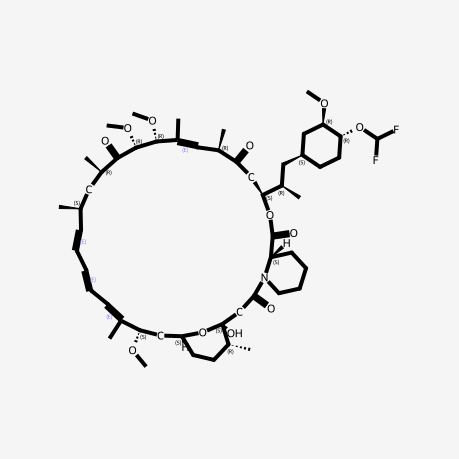 CO[C@H]1C[C@@H]2CC[C@@H](C)[C@](O)(CC(=O)N3CCCC[C@H]3C(=O)O[C@H]([C@H](C)C[C@@H]3CC[C@@H](OC(F)F)[C@H](OC)C3)CC(=O)[C@H](C)/C=C(\C)[C@@H](OC)[C@@H](OC)C(=O)[C@H](C)C[C@H](C)/C=C/C=C/C=C/1C)O2